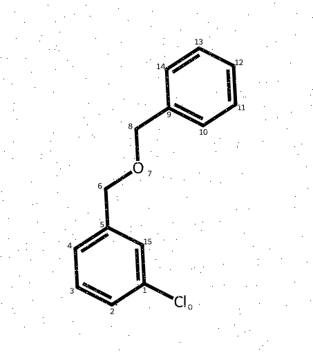 Clc1[c]ccc(COCc2ccccc2)c1